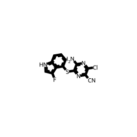 N#Cc1nc(Sc2cccc3[nH]cc(F)c23)c(N)nc1Cl